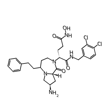 N[C@@H]1C[C@H]2C(=O)N([C@H](CCC(=O)NO)C(=O)NCc3ccc(Cl)c(Cl)c3)CCC(CCc3ccccc3)N2C1